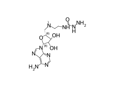 CN(CCNC(=O)NN)C[C@H]1O[C@@H](n2cnc3c(N)ncnc32)C(O)C1O